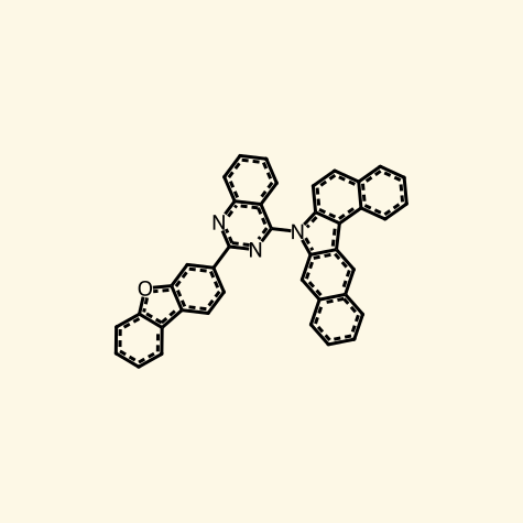 c1ccc2cc3c(cc2c1)c1c2ccccc2ccc1n3-c1nc(-c2ccc3c(c2)oc2ccccc23)nc2ccccc12